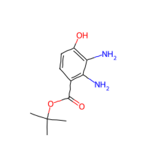 CC(C)(C)OC(=O)c1ccc(O)c(N)c1N